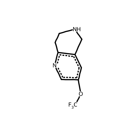 FC(F)(F)Oc1cnc2c(c1)CNCC2